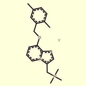 Cc1ccc(C)c(COc2cccn3c(C[N+](C)(C)C)cnc23)c1.[I-]